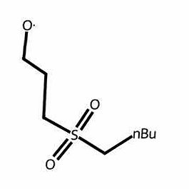 CCCCCS(=O)(=O)CCC[O]